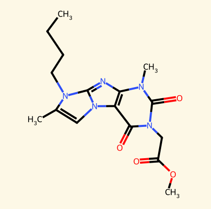 CCCCn1c(C)cn2c3c(=O)n(CC(=O)OC)c(=O)n(C)c3nc12